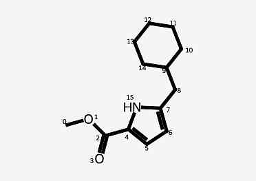 COC(=O)c1ccc(CC2CCCCC2)[nH]1